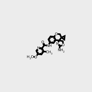 COc1cnc(C(=O)Nc2ccc3c(c2)C2(COC(N)=N2)C2(CC2)CO3)c(C)c1